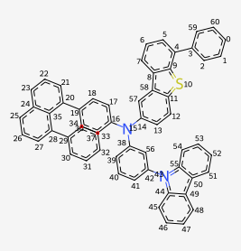 c1ccc(-c2cccc3c2sc2ccc(N(c4ccc(-c5cccc6cccc(-c7ccccc7)c56)cc4)c4cccc(-n5c6ccccc6c6ccccc65)c4)cc23)cc1